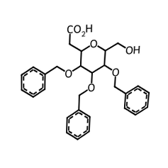 O=C(O)CC1OC(CO)C(OCc2ccccc2)C(OCc2ccccc2)C1OCc1ccccc1